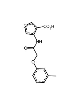 Cc1cccc(OCC(=O)Nc2cscc2C(=O)O)c1